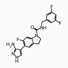 Nc1n[nH]cc1-c1cc2c(cc1F)N(C(=O)NCc1cc(F)cc(F)c1)CC2